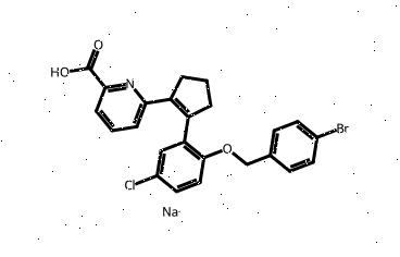 O=C(O)c1cccc(C2=C(c3cc(Cl)ccc3OCc3ccc(Br)cc3)CCC2)n1.[Na]